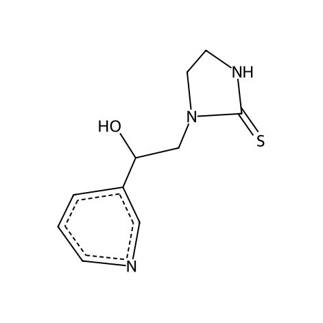 OC(CN1CCNC1=S)c1cccnc1